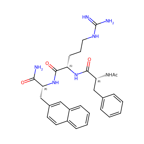 CC(=O)N[C@H](Cc1ccccc1)C(=O)N[C@@H](CCCNC(=N)N)C(=O)N[C@H](Cc1ccc2ccccc2c1)C(N)=O